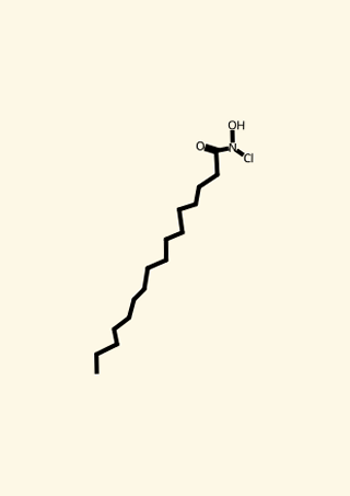 CCCCCCCCCCCCCCCC(=O)N(O)Cl